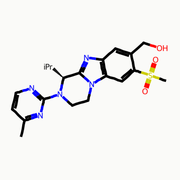 Cc1ccnc(N2CCn3c(nc4cc(CO)c(S(C)(=O)=O)cc43)[C@@H]2C(C)C)n1